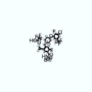 CS(=O)(=O)NC(=O)c1cc(C2CC2)c(CN2CCC(Oc3cc(C(F)(F)F)cc(Cl)c3F)CC2)cc1F.O=C(O)C(F)(F)F